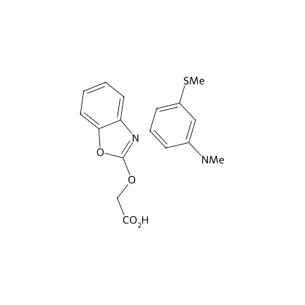 CNc1cccc(SC)c1.O=C(O)COc1nc2ccccc2o1